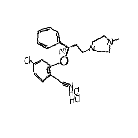 CN1CCN(CC[C@@H](Oc2cc(Cl)ccc2C#N)c2ccccc2)CC1.Cl.Cl